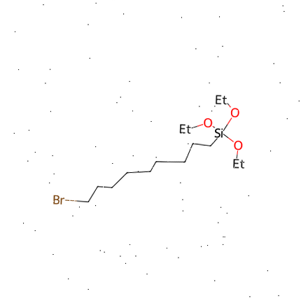 CCO[Si](CCCCCCCCCBr)(OCC)OCC